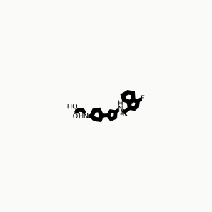 C[C@@H](NC1CCC(c2ccc(NCC(=O)O)cc2)C1)c1ccc(F)c2ccccc12